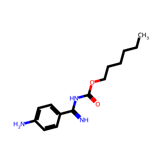 CCCCCCOC(=O)NC(=N)c1ccc(N)cc1